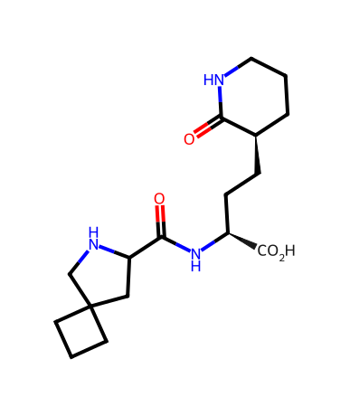 O=C(N[C@@H](CC[C@@H]1CCCNC1=O)C(=O)O)C1CC2(CCC2)CN1